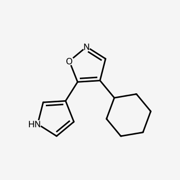 c1cc(-c2oncc2C2CCCCC2)c[nH]1